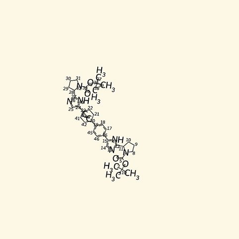 CC(C)(C)OC(=O)N1CCCC1c1ncc(-c2ccc(C34CCC(c5cnc(C6CCCN6C(=O)OC(C)(C)C)[nH]5)(CC3)CC4)cc2)[nH]1